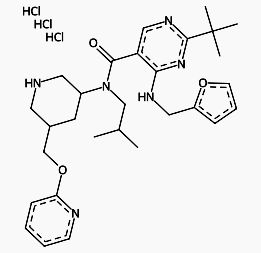 CC(C)CN(C(=O)c1cnc(C(C)(C)C)nc1NCc1ccco1)C1CNCC(COc2ccccn2)C1.Cl.Cl.Cl